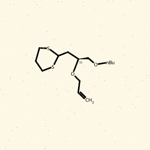 C=CCO[C@H](COCCCC)CC1SCCCS1